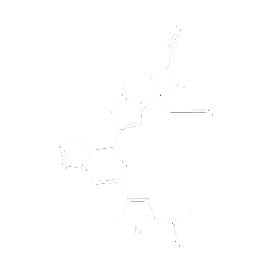 N#CCC1(n2cc(-c3nc(-c4cc(C(N)=O)no4)cn4nccc34)cn2)CC(C#N)C1